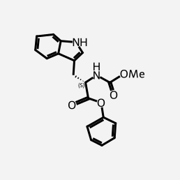 COC(=O)N[C@@H](Cc1c[nH]c2ccccc12)C(=O)Oc1ccccc1